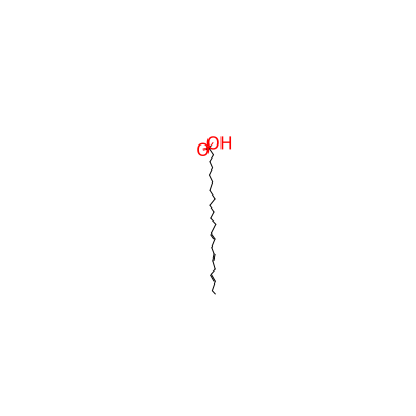 CCC=CCC=CCC=CCCCCCCCCCCCC(=O)O